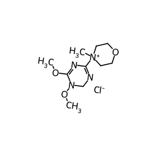 COC1=NC([N+]2(C)CCOCC2)=NCN1OC.[Cl-]